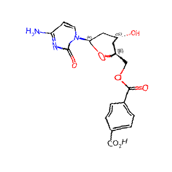 Nc1ccn([C@H]2C[C@H](O)[C@@H](COC(=O)c3ccc(C(=O)O)cc3)O2)c(=O)n1